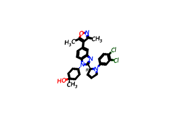 Cc1noc(C)c1-c1ccc2c(c1)nc([C@@H]1CCCN1c1ccc(Cl)c(Cl)c1)n2[C@H]1CC[C@@](C)(O)CC1